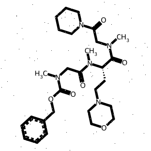 CN(CC(=O)N(C)[C@@H](CCN1CCOCC1)C(=O)N(C)CC(=O)N1CCCCC1)C(=O)OCc1ccccc1